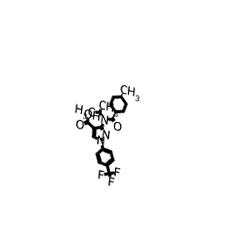 CC(C)N(c1nn(-c2ccc(C(F)(F)F)cc2)cc1C(=O)O)C(=O)[C@H]1CC[C@H](C)CC1